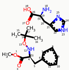 COC(=O)[C@H](Cc1ccccc1)NOC(C)(C)C.N[C@@H](Cc1c[nH]cn1)C(=O)O